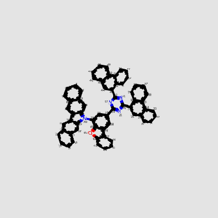 c1ccc2cc3c(cc2c1)c1cc2ccccc2cc1n3-c1cc(-c2nc(-c3cc4ccccc4c4ccccc34)nc(-c3cc4ccccc4c4ccccc34)n2)cc2c1oc1ccccc12